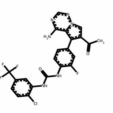 CC(=O)c1cn2ncnc(N)c2c1-c1ccc(NC(=O)Nc2cc(C(F)(F)F)ccc2Cl)c(F)c1